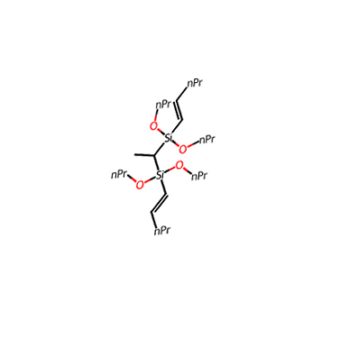 CCCC=C[Si](OCCC)(OCCC)C(C)[Si](C=CCCC)(OCCC)OCCC